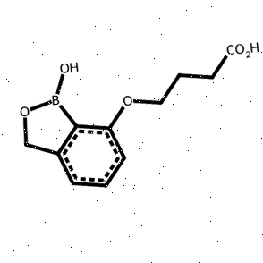 O=C(O)CCCOc1cccc2c1B(O)OC2